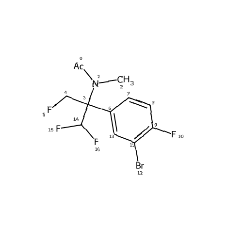 CC(=O)N(C)C(CF)(c1ccc(F)c(Br)c1)C(F)F